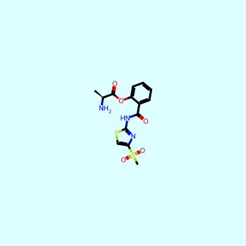 C[C@H](N)C(=O)Oc1ccccc1C(=O)Nc1nc(S(C)(=O)=O)cs1